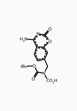 CC(C)(C)OC(=O)N(Cc1ccc2c(N)nc(=O)oc2c1)C(=O)O